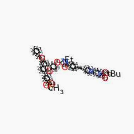 CCN(CCOc1ccc(Oc2c(-c3ccc(S(C)(=O)=O)cc3)ccc3cc(OCc4ccccc4)ccc23)cc1)C(=O)c1ccc(C#CC2CCN(C3CCN(C(=O)OC(C)(C)C)CC3)CC2)cc1